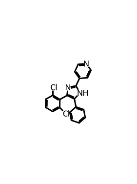 Clc1cccc(Cl)c1-c1nc(-c2ccncc2)[nH]c1-c1ccccc1